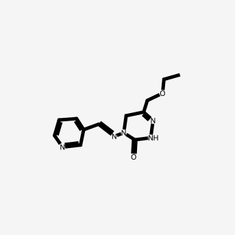 CCOCC1=NNC(=O)N(N=Cc2cccnc2)C1